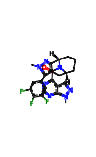 Cn1nc2c(c1-c1cc(F)c(F)c(F)c1)C[C@H]1CCC[C@@H]2N1C(=O)c1ncnc2c1cnn2C